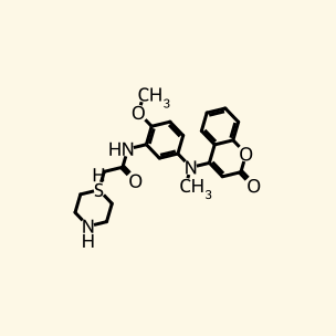 COc1ccc(N(C)c2cc(=O)oc3ccccc23)cc1NC(=O)C[SH]1CCNCC1